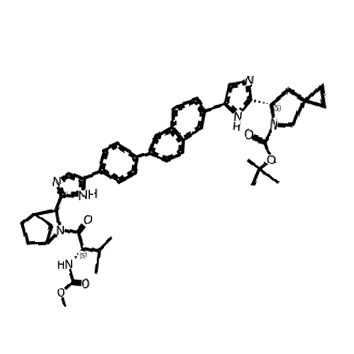 COC(=O)N[C@H](C(=O)N1C2CCC(C2)C1c1ncc(-c2ccc(-c3ccc4cc(-c5cnc([C@@H]6CC7(CC7)CN6C(=O)OC(C)(C)C)[nH]5)ccc4c3)cc2)[nH]1)C(C)C